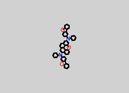 c1ccc(N(c2cc3c4c(ccc5cc(N(c6ccccc6)c6ccc7c(c6)oc6ccccc67)c6cccc(c6c54)O3)c2)c2ccc3oc4ccccc4c3c2)cc1